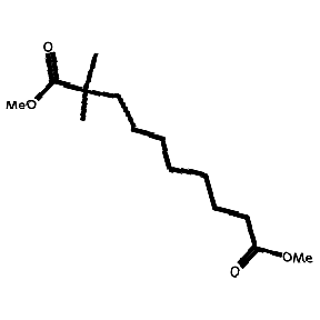 COC(=O)CCCCCCCC(C)(C)C(=O)OC